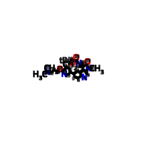 Cc1cc(-c2ccc3ncc4c(c3c2)C2(CN(C(=O)OC(C)(C)C)C2)C(=O)N4C)cnc1OCCCN(C)C